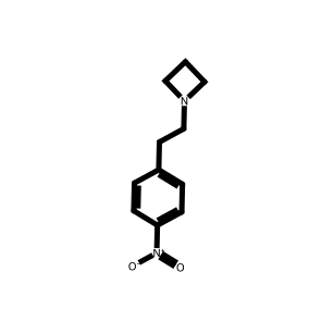 O=[N+]([O-])c1ccc(CCN2CCC2)cc1